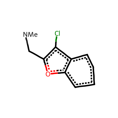 CNCc1oc2ccccc2c1Cl